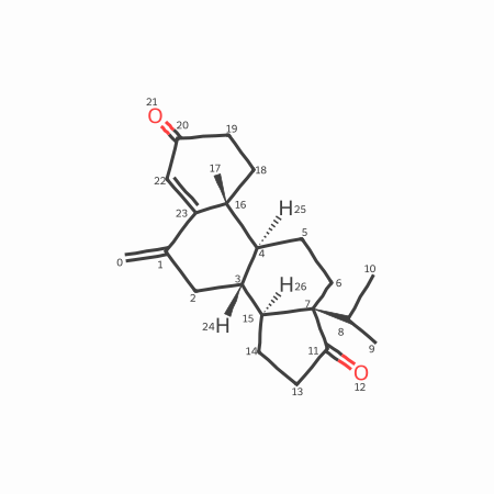 C=C1C[C@@H]2[C@H](CC[C@]3(C(C)C)C(=O)CC[C@@H]23)[C@@]2(C)CCC(=O)C=C12